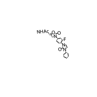 CC(=O)NC[C@H]1CN(c2ccc(-n3ccn(-c4ccccc4)c3=O)c(F)c2)C(=O)O1